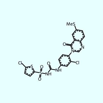 CSc1ccc2ncn(-c3ccc(NC(=O)NS(=O)(=O)c4ccc(Cl)s4)cc3Cl)c(=O)c2c1